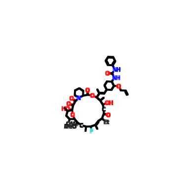 C=CCOC1CC(C=C(C)C2OC(=O)C3CCCCN3C(=O)C(=O)C3(O)OC(C(OC)CC(C)C(F)/C(C)=C/C(CC)C(=O)CC(O)C2C)C(OC)CC3C)CCC1NC(=O)Nc1ccccc1